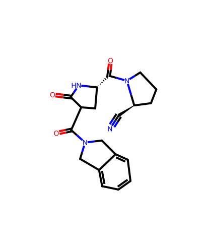 N#C[C@@H]1CCCN1C(=O)[C@@H]1CC(C(=O)N2Cc3ccccc3C2)C(=O)N1